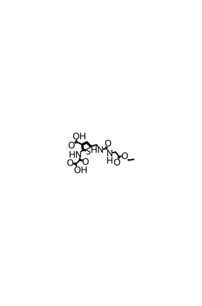 CCOC(=O)CNC(=O)NCc1cc(C(=O)O)c(NC(=O)C(=O)O)s1